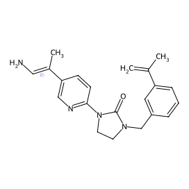 C=C(C)c1cccc(CN2CCN(c3ccc(/C(C)=C/N)cn3)C2=O)c1